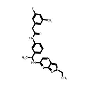 CCn1cc2ncc(N[C@@H](C)c3cccc(NC(=O)Cc4cc(C)cc(F)c4)c3)nc2n1